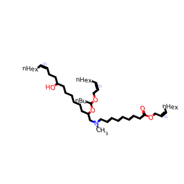 CCCCCC/C=C\CCC(O)CCCCCCC(CN(C)CCCCCCCCC(=O)OC/C=C\CCCCCC)OC(CCCC)OC/C=C\CCCCCC